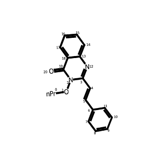 CCCOn1c(C=Cc2ccccc2)nc2ccccc2c1=O